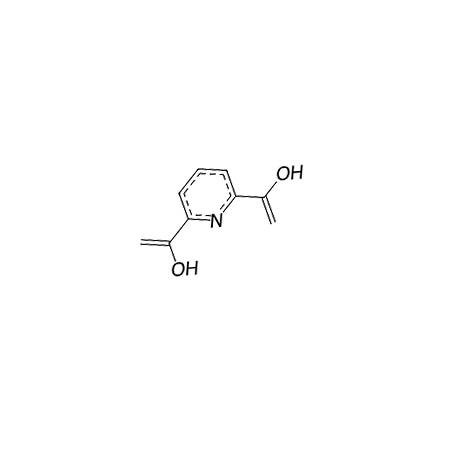 C=C(O)c1cccc(C(=C)O)n1